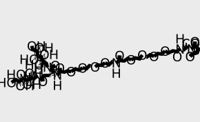 O=C(CCOCCOCCOCCOCCC(=O)NC[C@@H](C(=O)O)N1C(=O)C=CC1=O)NCCOCCOCCOCCOCCC(=O)N[C@@H](CCC(=O)NC[C@H](O)[C@@H](O)[C@H](O)[C@H](O)CO)C(=O)NC[C@H](O)[C@@H](O)[C@H](O)[C@H](O)CO